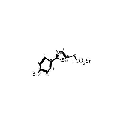 CCOC(=O)Cc1cnc(-c2ccc(Br)cc2)s1